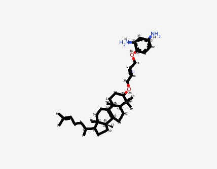 CC(C)=CCCC(C)C1CC[C@@]2(C)C3=C(CCC12C)C1(C)CCC(OC/C=C/COc2ccc(N)cc2N)C(C)(C)C1CC3